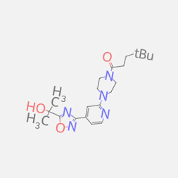 CC(C)(C)CCC(=O)N1CCN(c2cc(-c3noc(C(C)(C)O)n3)ccn2)CC1